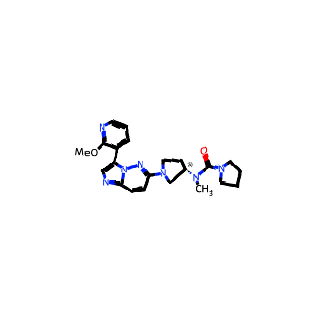 COc1ncccc1-c1cnc2ccc(N3CC[C@H](N(C)C(=O)N4CCCC4)C3)nn12